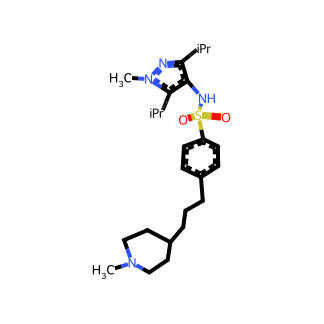 CC(C)c1nn(C)c(C(C)C)c1NS(=O)(=O)c1ccc(CCCC2CCN(C)CC2)cc1